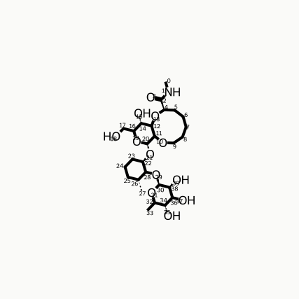 CNC(=O)[C@H]1CCCCCOC2C(O1)[C@@H](O)C(CO)O[C@H]2O[C@@H]1CCC[C@@H](C)C1O[C@@H]1OC(C)[C@@H](O)C(O)[C@@H]1O